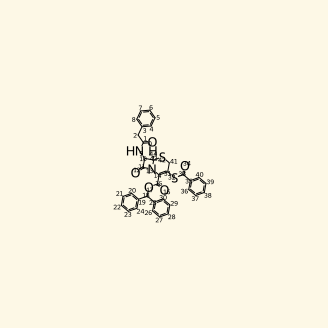 O=C(Cc1ccccc1)NC1C(=O)N2C(C(=O)OC(c3ccccc3)c3ccccc3)=C(SC(=O)c3ccccc3)CS[C@@H]12